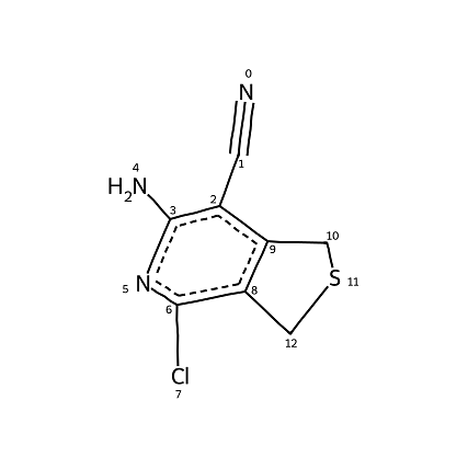 N#Cc1c(N)nc(Cl)c2c1CSC2